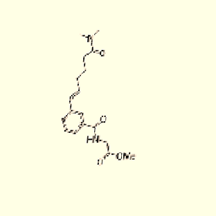 COC(=O)CNC(=O)c1cccc(C=CCCCC(=O)N(C)C)c1